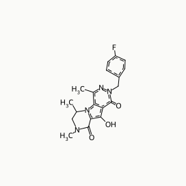 Cc1nn(Cc2ccc(F)cc2)c(=O)c2c(O)c3n(c12)C(C)CN(C)C3=O